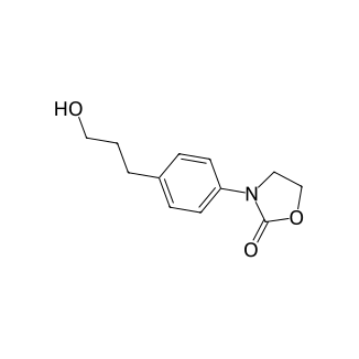 O=C1OCCN1c1ccc(CCCO)cc1